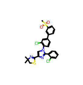 CC1(C)CSC(c2cn(-c3ccc(-c4cccc(S(C)(=O)=O)c4)cc3Cl)c(-c3ccccc3Cl)n2)=N1